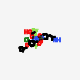 O=C(NS(=O)(=O)N1CCC(CC2CNC2)CC1)c1cc(Cl)c(OCC2CCCC2)cc1F.O=C(O)C(F)(F)F